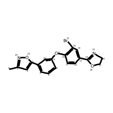 Cc1cc(-c2cccc(Oc3ccc(C4=NCCO4)cc3Br)c2)on1